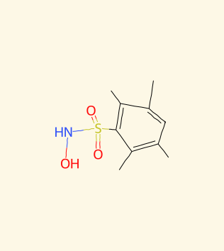 Cc1cc(C)c(C)c(S(=O)(=O)NO)c1C